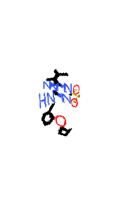 CC(C)c1cnn2c(NCc3ccccc3OC3CCC3)nc(S(C)(=O)=O)nc12